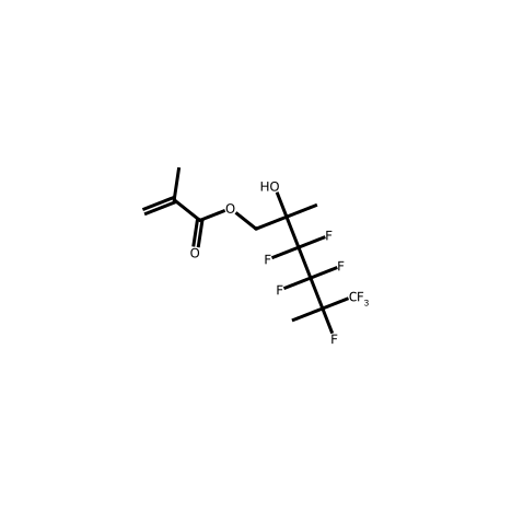 C=C(C)C(=O)OCC(C)(O)C(F)(F)C(F)(F)C(C)(F)C(F)(F)F